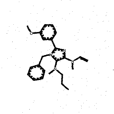 C=CN(C)c1nc(-c2cccc(OC)c2)n(Cc2ccccc2)c1N(C)CCC